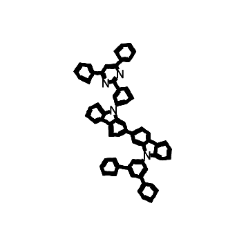 c1ccc(-c2cc(-c3ccccc3)cc(-n3c4ccccc4c4ccc(-c5ccc6c7ccccc7n(-c7cccc(-c8nc(-c9ccccc9)cc(-c9ccccc9)n8)c7)c6c5)cc43)c2)cc1